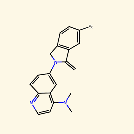 C=C1c2cc(CC)ccc2CN1c1ccc2nccc(N(C)C)c2c1